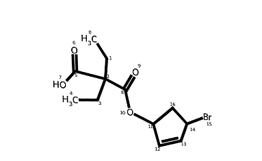 CCC(CC)(C(=O)O)C(=O)OC1C=CC(Br)C1